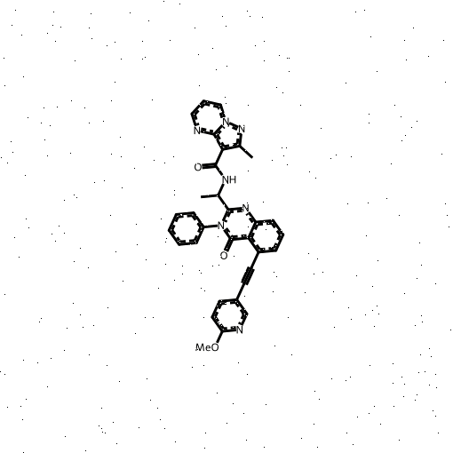 COc1ccc(C#Cc2cccc3nc(C(C)NC(=O)c4c(C)nn5cccnc45)n(-c4ccccc4)c(=O)c23)cn1